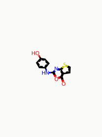 O=c1oc(Nc2ccc(O)cc2)nc2sccc12